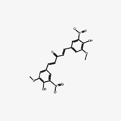 COc1cc(C=CC(=O)C=Cc2cc(OC)c(O)c([N+](=O)[O-])c2)cc([N+](=O)[O-])c1O